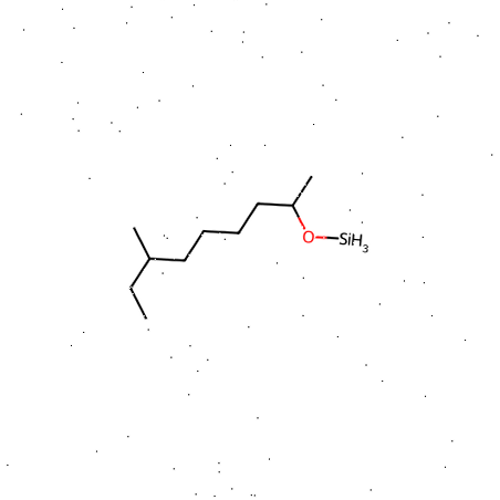 CCC(C)CCCCC(C)O[SiH3]